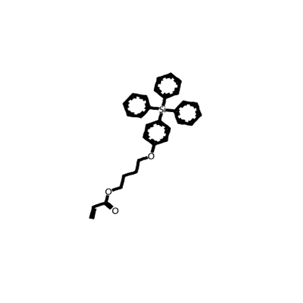 C=CC(=O)OCCCCOc1ccc([Si](c2ccccc2)(c2ccccc2)c2ccccc2)cc1